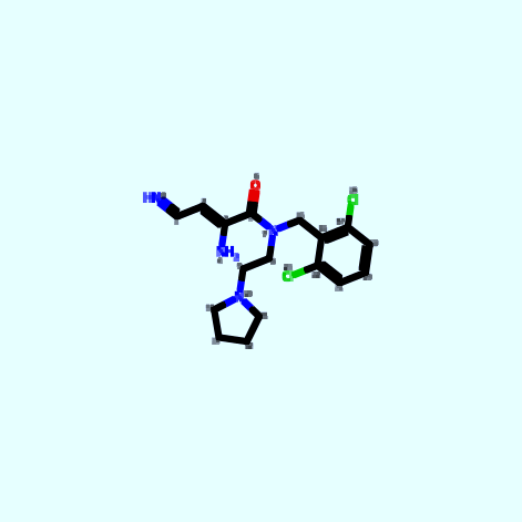 N=C/C=C(\N)C(=O)N(CCN1CCCC1)Cc1c(Cl)cccc1Cl